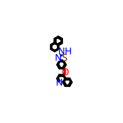 c1ccc2c(c1)CCCC2Nc1nc2ccc(Oc3ccnc4ccccc34)cc2s1